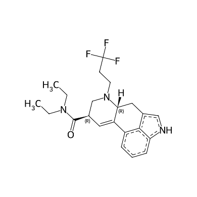 CCN(CC)C(=O)[C@@H]1C=C2c3cccc4[nH]cc(c34)C[C@H]2N(CCC(F)(F)F)C1